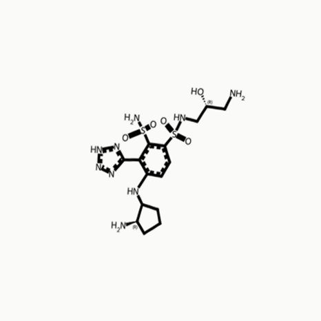 NC[C@@H](O)CNS(=O)(=O)c1ccc(NC2CCC[C@H]2N)c(-c2nn[nH]n2)c1S(N)(=O)=O